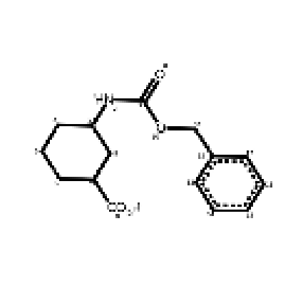 O=C(NC1CCCC(C(=O)O)C1)OCc1ccccc1